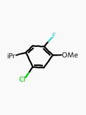 COc1cc(Cl)c(C(C)C)cc1F